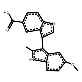 COc1ccc2[nH]c(C)c(-c3c[nH]c4ccc(C(=O)O)cc34)c2c1